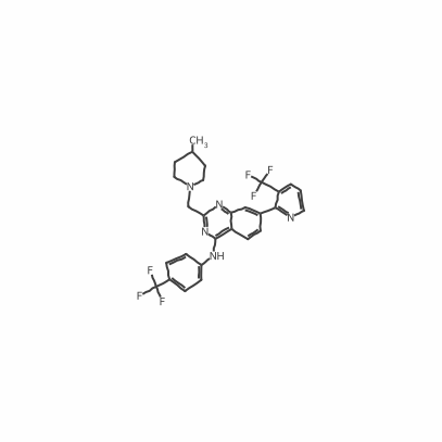 CC1CCN(Cc2nc(Nc3ccc(C(F)(F)F)cc3)c3ccc(-c4ncccc4C(F)(F)F)cc3n2)CC1